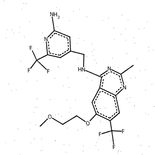 COCCOc1cc2c(NCc3cc(N)nc(C(F)(F)F)c3)nc(C)nc2cc1C(F)(F)F